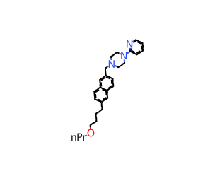 CCCOCCCCc1ccc2cc(CN3CCN(c4ccccn4)CC3)ccc2c1